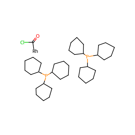 C1CCC(P(C2CCCCC2)C2CCCCC2)CC1.C1CCC(P(C2CCCCC2)C2CCCCC2)CC1.O=[C](Cl)[Rh]